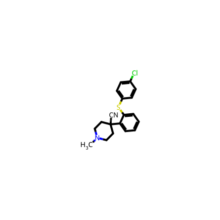 CN1CCC(C#N)(c2ccccc2Sc2ccc(Cl)cc2)CC1